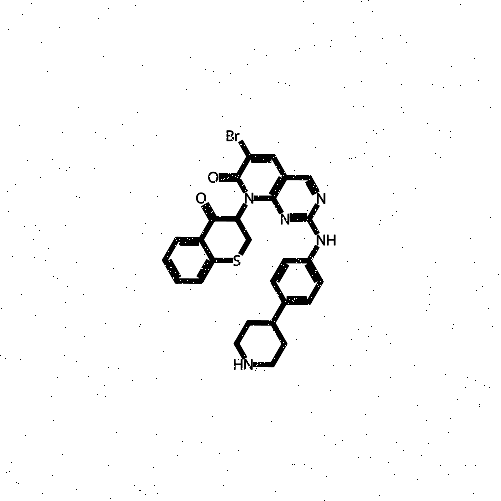 O=C1c2ccccc2SCC1n1c(=O)c(Br)cc2cnc(Nc3ccc(C4CCNCC4)cc3)nc21